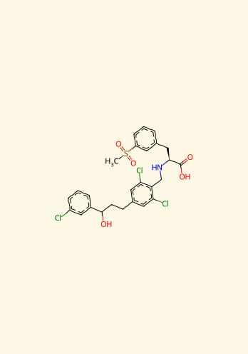 CS(=O)(=O)c1cccc(C[C@H](NCc2c(Cl)cc(CCC(O)c3cccc(Cl)c3)cc2Cl)C(=O)O)c1